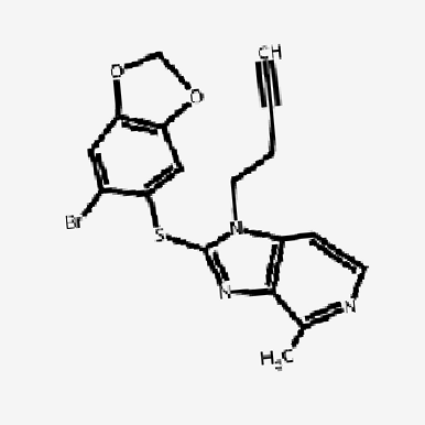 C#CCCn1c(Sc2cc3c(cc2Br)OCO3)nc2c(C)nccc21